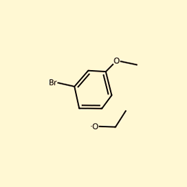 CC[O].COc1cccc(Br)c1